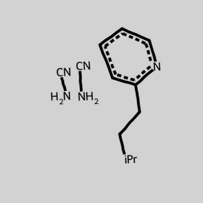 CC(C)CCc1ccccn1.N#CN.N#CN